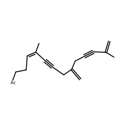 C=C(C)C#CCC(=C)CC#CC(C)=CCCC(C)=O